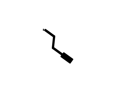 [CH]CCC#C